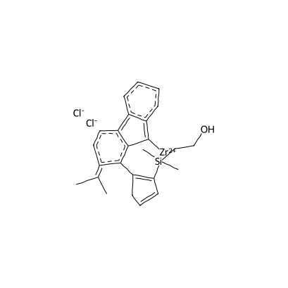 CC(C)=c1ccc2c(c1C1=C([Si](C)(C)CCO)C=CC1)[C]([Zr+2])=c1ccccc1=2.[Cl-].[Cl-]